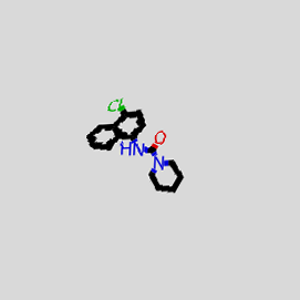 O=C(Nc1ccc(Cl)c2ccccc12)N1CCCCC1